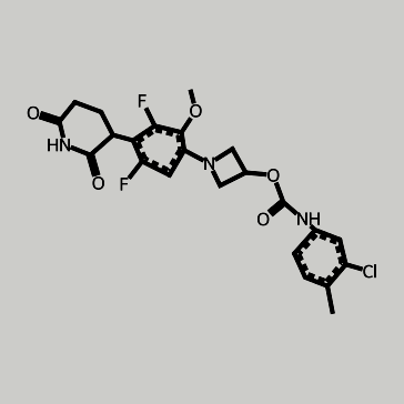 COc1c(N2CC(OC(=O)Nc3ccc(C)c(Cl)c3)C2)cc(F)c(C2CCC(=O)NC2=O)c1F